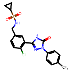 O=c1[nH]c(-c2cc(CNS(=O)(=O)C3CC3)ccc2Cl)nn1-c1ccc(C(F)(F)F)cc1